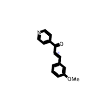 COc1cccc(/C=C/C(=O)c2ccncc2)c1